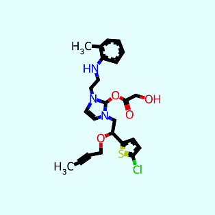 CC#CCOC(CN1C=CN(CCNc2ccccc2C)C1OC(=O)CO)c1ccc(Cl)s1